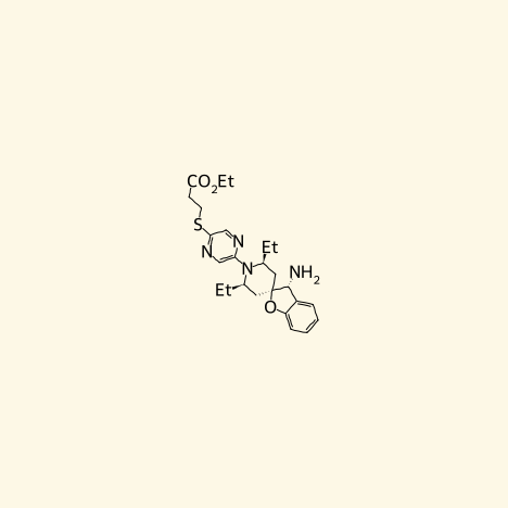 CCOC(=O)CCSc1cnc(N2[C@H](CC)C[C@@]3(C[C@@H]2CC)Oc2ccccc2[C@H]3N)cn1